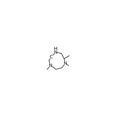 CC1CNCCN(C)CCN1C